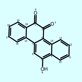 O=C1C(=O)c2c(cc(O)c3ccccc23)-c2ccccc21